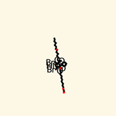 CCCCCCCCCCCCOC(=O)C1=C(CBr)NC(CBr)=C(C(=O)OCCCCCCCCCCCC)C1c1ccccc1